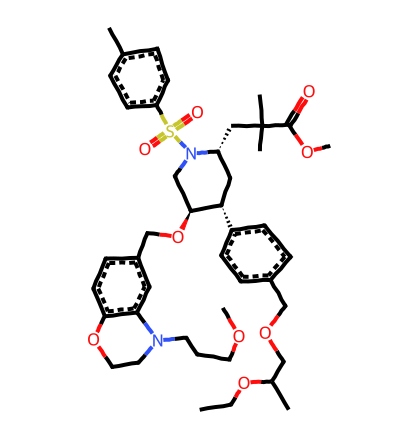 CCOC(C)COCc1ccc([C@H]2C[C@@H](CC(C)(C)C(=O)OC)N(S(=O)(=O)c3ccc(C)cc3)C[C@@H]2OCc2ccc3c(c2)N(CCCOC)CCO3)cc1